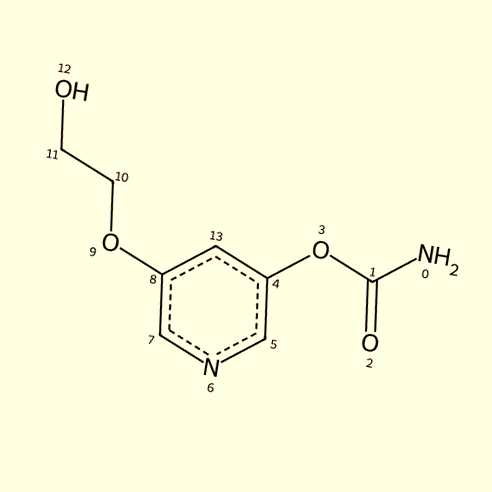 NC(=O)Oc1cncc(OCCO)c1